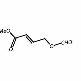 COC(=O)/C=C/CO[C]=O